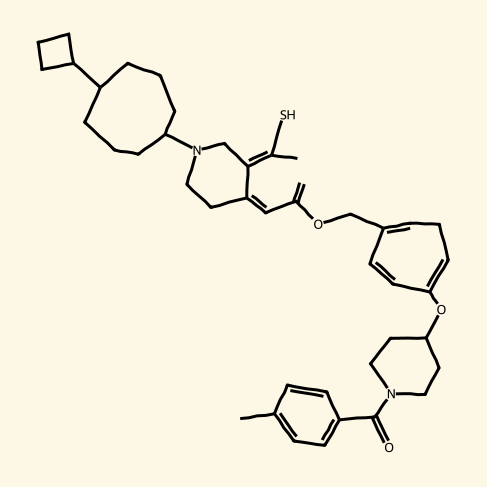 C=C(/C=C1/CCN(C2CCCC(C3CCC3)CCC2)C/C1=C(/C)S)OCC1=CCC=C(OC2CCN(C(=O)c3ccc(C)cc3)CC2)C=C1